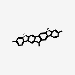 Cc1ccc2c(c1)sc1cc3c(cc12)C(C)c1cc2c(cc1-3)sc1cc(C)ccc12